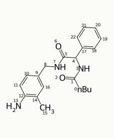 CCCCC(=O)NC(C(=O)NCc1ccc(N)c(C)c1)c1ccccc1